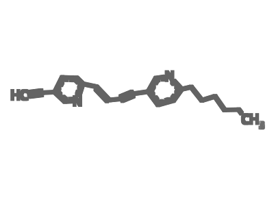 C#Cc1ccc(/C=C/C#Cc2ccc(CCCCCC)nc2)nc1